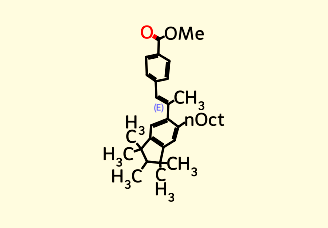 CCCCCCCCc1cc2c(cc1/C(C)=C/c1ccc(C(=O)OC)cc1)C(C)(C)C(C)C2(C)C